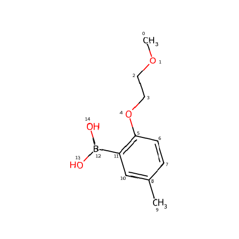 COCCOc1ccc(C)cc1B(O)O